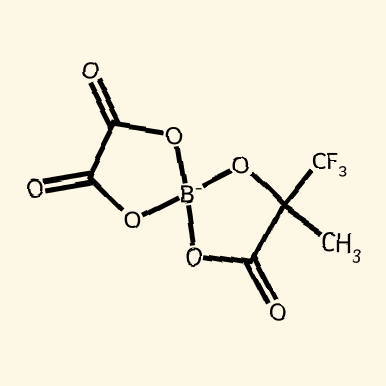 CC1(C(F)(F)F)O[B-]2(OC(=O)C(=O)O2)OC1=O